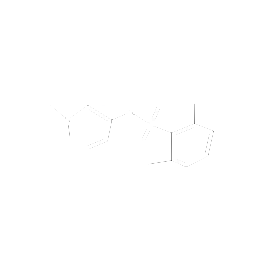 C=C/C(=C\N(C)C)NS(=O)(=O)c1c(F)cccc1F